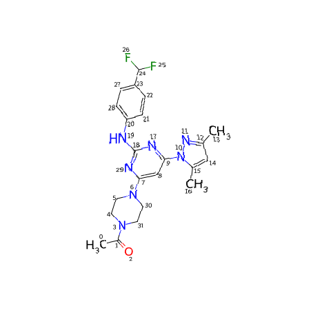 CC(=O)N1CCN(c2cc(-n3nc(C)cc3C)nc(Nc3ccc(C(F)F)cc3)n2)CC1